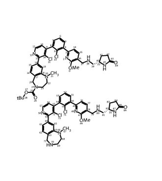 COc1nc(-c2cccc(-c3ccnc(-c4ccc5c(c4)N(C)CCN(C(=O)OC(C)(C)C)C5)c3Cl)c2Cl)ccc1CNC[C@@H]1CCC(=O)N1.COc1nc(-c2cccc(-c3ccnc(-c4ccc5c(c4)N(C)CCNC5)c3Cl)c2Cl)ccc1CNC[C@@H]1CCC(=O)N1